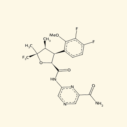 COc1c([C@H]2[C@@H](C(=O)Nc3cncc(C(N)=O)n3)O[C@@](C)(C(F)(F)F)[C@H]2C)ccc(F)c1F